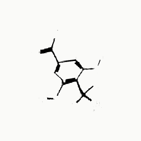 COc1cc(C(C)=O)cc(OC)c1C(C)(C)C